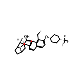 C[C@H](c1ccc2ccc(O[C@H]3CC[C@@H](C(F)(F)F)CC3)c(CF)c2c1)N1C2CCC1CC(C(=O)O)C2